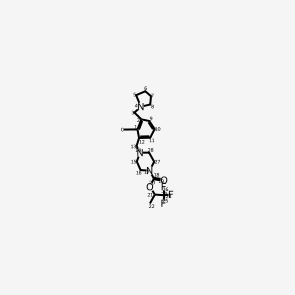 Cc1c(CN2CCCC2)cccc1CN1CCN(C(=O)OC(C)C(F)(F)F)CC1